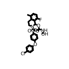 Cc1ccc(F)c2c1CCN(S(=O)(=O)c1ccc(Oc3ccc(Cl)cc3)cc1)C2OC(=O)NO